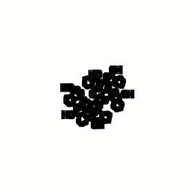 O=C(O)c1ccccc1C(=O)OC[C@H](OC(=O)c1ccccc1C(=O)O)[C@@H](OC(=O)c1ccccc1C(=O)O)[C@H](OC(=O)c1ccccc1C(=O)O)[C@@H](COC(=O)c1ccccc1C(=O)O)OC(=O)c1ccccc1C(=O)O